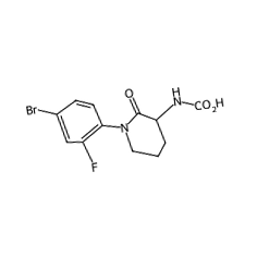 O=C(O)NC1CCCN(c2ccc(Br)cc2F)C1=O